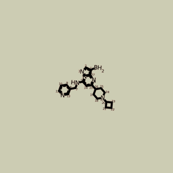 Bc1cnn2c(NCc3cccnc3)cc(C3CCN(C4CCC4)CC3)nc12